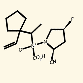 C=CC1(C(C)[N+]([O-])(C(=O)O)N2C[C@@H](F)C[C@H]2C#N)CCCC1